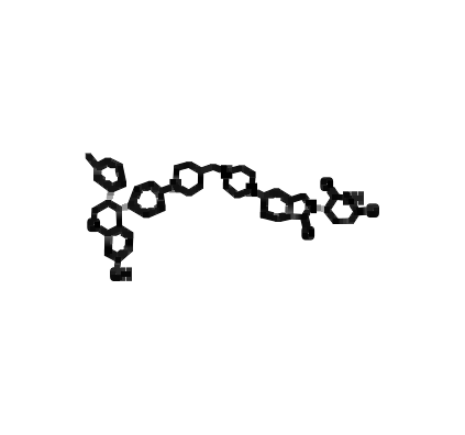 Cc1cccc([C@H]2COc3cc(O)ccc3[C@H]2c2ccc(N3CCC(CN4CCN(c5ccc6c(c5)CN([C@H]5CCC(=O)NC5=O)C6=O)CC4)CC3)cc2)c1